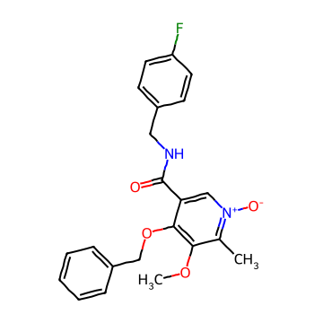 COc1c(OCc2ccccc2)c(C(=O)NCc2ccc(F)cc2)c[n+]([O-])c1C